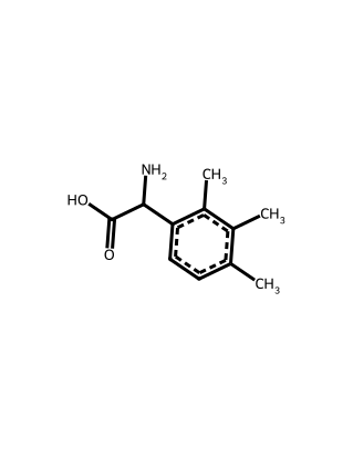 Cc1ccc(C(N)C(=O)O)c(C)c1C